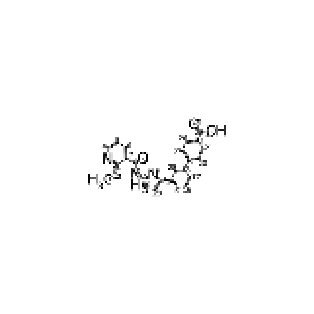 CSc1ncccc1C(=O)Nc1nc(-c2cccc(-c3ccc(C(=O)O)cc3)c2)cs1